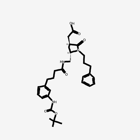 CC(C)(C)OC(=O)Nc1cccc(CCCC(=O)NC[C@@H]2C[C@@H](CC(=O)O)C(=O)N2CCCc2ccccc2)c1